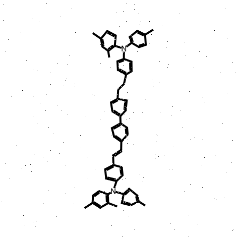 Cc1ccc(N(c2ccc(C=Cc3ccc(-c4ccc(CCc5ccc(N(c6ccc(C)cc6)c6ccc(C)cc6C)cc5)cc4)cc3)cc2)c2ccc(C)cc2C)cc1